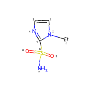 CCn1ccnc1S(N)(=O)=O